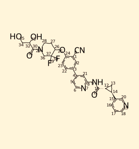 N#Cc1cc(-c2ccnc(NC(=O)[C@@H]3C[C@H]3c3cccnc3)c2)ccc1OC1CCN(C(=O)C(O)CO)CC1(F)F